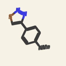 CNc1ccc(-c2csnn2)cc1